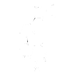 COP(=O)(S)OC[C@@H]1CC[C@H](n2cnc3c(N)ncnc32)O1